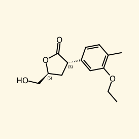 CCOc1cc([C@@H]2C[C@@H](CO)OC2=O)ccc1C